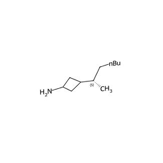 CCCCC[C@H](C)C1CC(N)C1